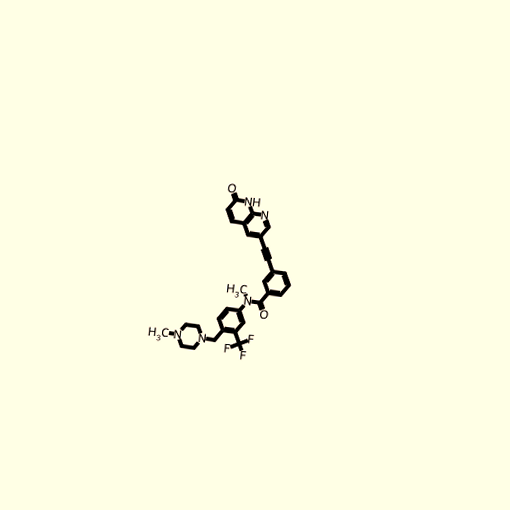 CN1CCN(Cc2ccc(N(C)C(=O)c3cccc(C#Cc4cnc5[nH]c(=O)ccc5c4)c3)cc2C(F)(F)F)CC1